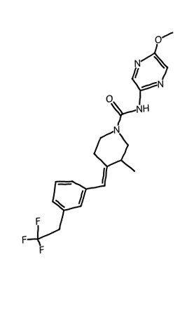 COc1cnc(NC(=O)N2CCC(=Cc3cccc(CC(F)(F)F)c3)C(C)C2)cn1